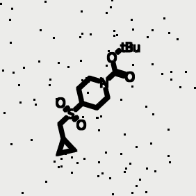 CC(C)(C)OC(=O)N1CCC(S(=O)(=O)CC2CC2)CC1